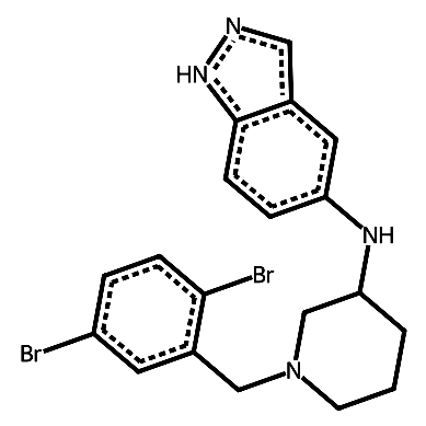 Brc1ccc(Br)c(CN2CCCC(Nc3ccc4[nH]ncc4c3)C2)c1